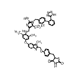 CCCc1nc(CNc2c(C)cc(Oc3ccc4nc(COc5ccc(CC6SC(=O)NC6=O)cc5)n(C)c4c3)cc2C)c(C(=O)OCC)n1Cc1ccc(-c2ccccc2-c2nnn[nH]2)cc1